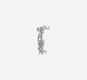 CCCCC1CCC(COC2CCC(c3ccc(C4CCC(CCC)CC4)c(F)c3F)CC2)C=C1F